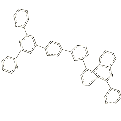 c1ccc(-c2nc3ccccc3c3c(-c4cccc(-c5ccc(-c6cc(-c7ccccn7)nc(-c7ccccn7)c6)cc5)c4)cccc23)cc1